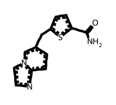 NC(=O)c1ccc(Cc2ccc3nccn3c2)s1